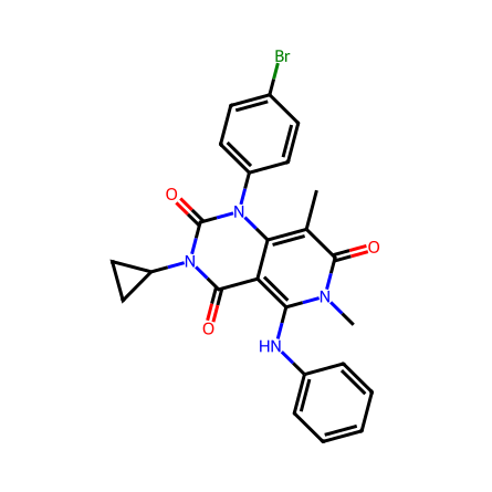 Cc1c(=O)n(C)c(Nc2ccccc2)c2c(=O)n(C3CC3)c(=O)n(-c3ccc(Br)cc3)c12